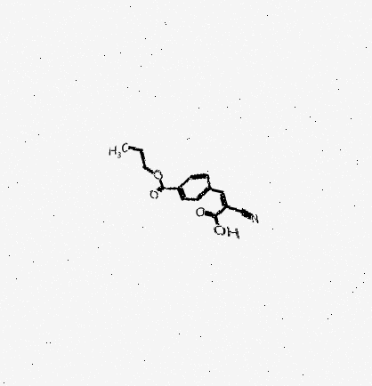 CCCOC(=O)c1ccc(C=C(C#N)C(=O)O)cc1